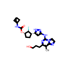 N#Cc1c(CCCO)nc(Nc2cc([C@@H]3CC[C@H](OC(=O)NC45CC(C4)C5)[C@H]3F)[nH]n2)n2ccnc12